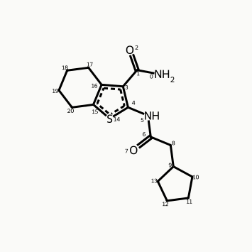 NC(=O)c1c(NC(=O)CC2CCCC2)sc2c1CCCC2